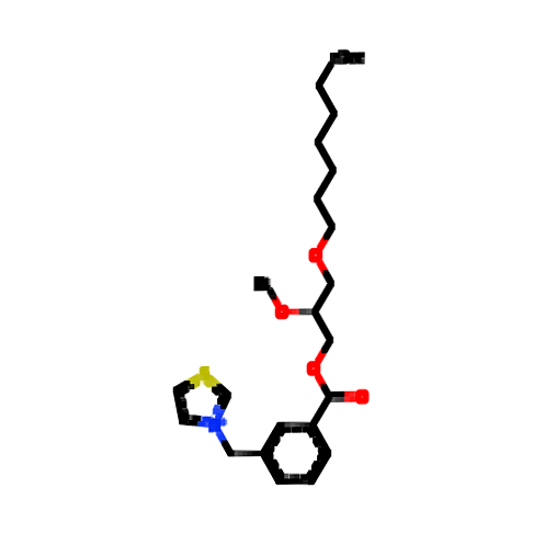 CCCCCCCCCCCCCCCCOCC(COC(=O)c1cccc(C[n+]2ccsc2)c1)OCC